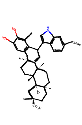 COc1ccc2c(C3C=C4[C@@](C)(CC[C@@]5(C)[C@@H]6C[C@](C)(C(=O)O)CC[C@]6(C)CC[C@]45C)c4cc(O)c(O)c(C)c43)c[nH]c2c1